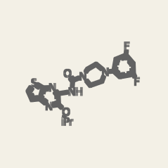 CC(C)Oc1nc2ccsc2nc1NC(=O)N1CCN(c2cc(F)cc(F)c2)CC1